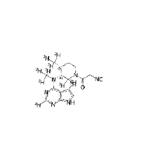 [2H]c1nc(N([C@@H]2[C@H](C([2H])([2H])[2H])CCN(C(=O)C[N+]#[C-])C2([2H])[2H])C([2H])([2H])[2H])c2c([2H])c[nH]c2n1